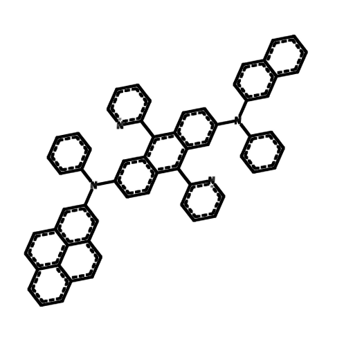 c1ccc(N(c2ccc3ccccc3c2)c2ccc3c(-c4ccccn4)c4cc(N(c5ccccc5)c5cc6ccc7cccc8ccc(c5)c6c78)ccc4c(-c4ccccn4)c3c2)cc1